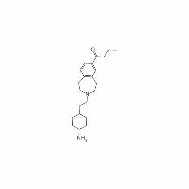 CCCC(=O)c1ccc2c(c1)CCN(CCC1CCC(N)CC1)CC2